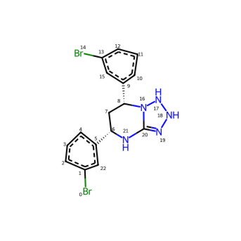 Brc1cccc([C@@H]2C[C@H](c3cccc(Br)c3)N3NNN=C3N2)c1